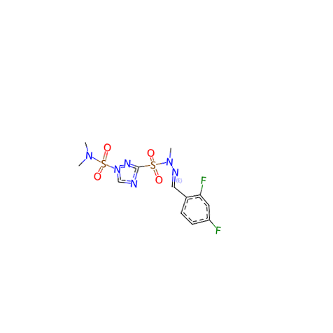 CN(/N=C/c1ccc(F)cc1F)S(=O)(=O)c1ncn(S(=O)(=O)N(C)C)n1